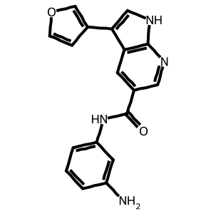 Nc1cccc(NC(=O)c2cnc3[nH]cc(-c4ccoc4)c3c2)c1